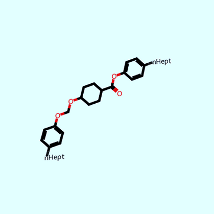 CCCCCCCc1ccc(OCOC2CCC(C(=O)Oc3ccc(CCCCCCC)cc3)CC2)cc1